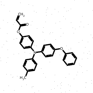 C=CC(=O)Oc1ccc(N(c2ccc(C)cc2)c2ccc(Oc3ccccc3)cc2)cc1